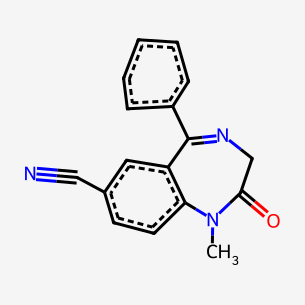 CN1C(=O)CN=C(c2ccccc2)c2cc(C#N)ccc21